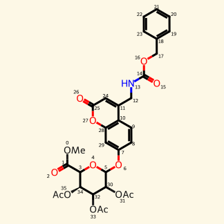 COC(=O)C1OC(Oc2ccc3c(CNC(=O)OCc4ccccc4)cc(=O)oc3c2)C(OC(C)=O)C(OC(C)=O)[C@H]1OC(C)=O